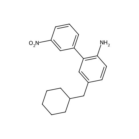 Nc1ccc(CC2CCCCC2)cc1-c1cccc([N+](=O)[O-])c1